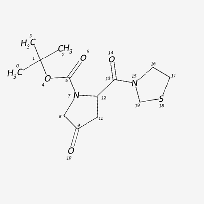 CC(C)(C)OC(=O)N1CC(=O)CC1C(=O)N1CCSC1